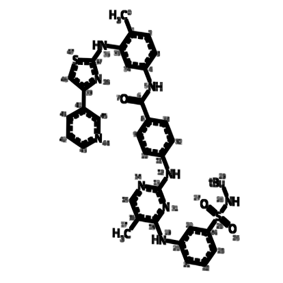 Cc1ccc(NC(=O)c2ccc(Nc3ncc(C)c(Nc4cccc(S(=O)(=O)NC(C)(C)C)c4)n3)cc2)cc1Nc1nc(-c2cccnc2)cs1